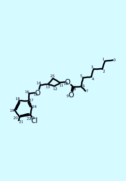 CCCCCCC(C)C(=O)OC1CC(COCc2ccc(C)c(Cl)c2)C1